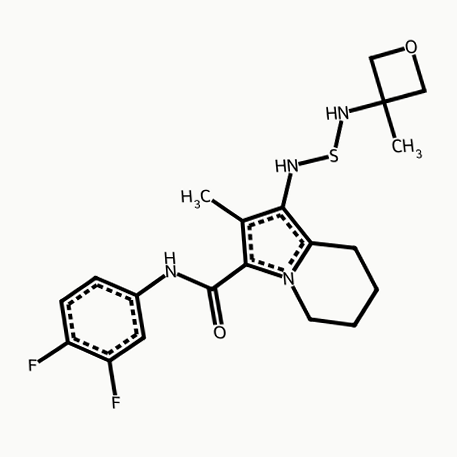 Cc1c(NSNC2(C)COC2)c2n(c1C(=O)Nc1ccc(F)c(F)c1)CCCC2